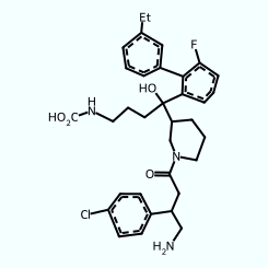 CCc1cccc(-c2c(F)cccc2C(O)(CCCNC(=O)O)C2CCCN(C(=O)CC(CN)c3ccc(Cl)cc3)C2)c1